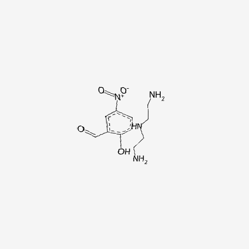 NCCNCCN.O=Cc1cc([N+](=O)[O-])ccc1O